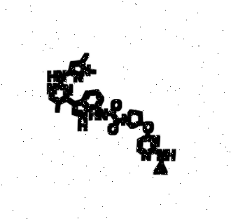 Cc1cnc(Nc2cc(C)n(C)n2)nc1-c1c[nH]c2c(NC(=O)C(=O)N3CC[C@H](Oc4ccnc(NC5CC5)n4)C3)cccc12